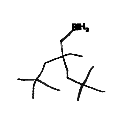 CC(C)(C)CC(C)([CH2][BiH2])CC(C)(C)C